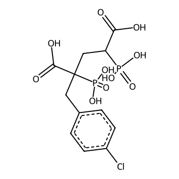 O=C(O)C(CC(Cc1ccc(Cl)cc1)(C(=O)O)P(=O)(O)O)P(=O)(O)O